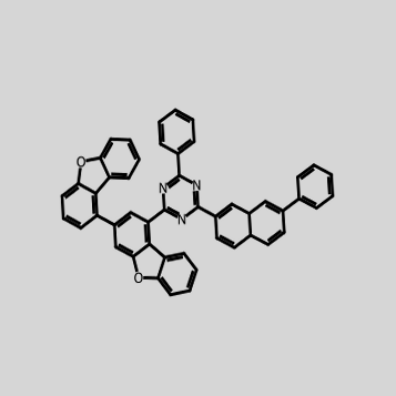 C1=CC2C=CC(c3nc(-c4ccccc4)nc(-c4cc(-c5cccc6oc7ccccc7c56)cc5oc6ccccc6c45)n3)=CC2C=C1c1ccccc1